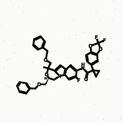 CC1(COCc2ccccc2)O[C@@H](COCc2ccccc2)Cn2c1cc1cc(NC(=O)C3(c4ccc5c(c4)OC(F)(F)O5)CC3)c(F)cc12